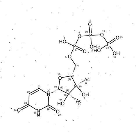 CC(=O)[C@@]1(O)[C@@H](COP(=O)(O)OP(=O)(O)OP(=O)(O)O)O[C@@H](n2ccc(=O)[nH]c2=O)[C@@]1(O)C(C)=O